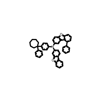 c1ccc(-c2cccc3oc4ccc(N(c5ccc(C6(c7ccccc7)CCCCCC6)cc5)c5ccc6c(c5)oc5ccccc56)cc4c23)cc1